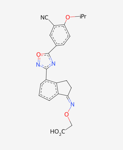 CC(C)Oc1ccc(-c2nc(-c3cccc4c3CC/C4=N/OCC(=O)O)no2)cc1C#N